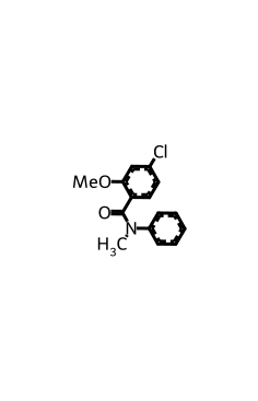 COc1cc(Cl)ccc1C(=O)N(C)c1ccccc1